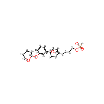 CS(=O)(=O)OCCCCC12CCC(c3cccc(OC4CCCCO4)c3)(CC1)OC2